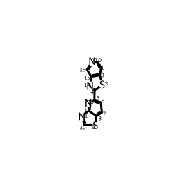 c1cc2sc(-c3ccc4scnc4n3)nc2cn1